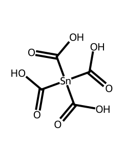 O=[C](O)[Sn]([C](=O)O)([C](=O)O)[C](=O)O